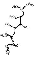 CCO[PH](=O)C(O)C[C@@H](O)[C@@H](O)[C@@H](O)CN(O)C=O